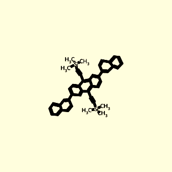 C[Si](C)(C)C#Cc1c2ccc(-c3ccc4ccccc4c3)cc2c(C#C[Si](C)(C)C)c2ccc(-c3ccc4ccccc4c3)cc12